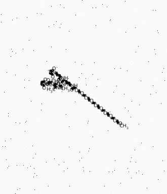 COCCOCCOCCOCCOCCOCCOCCOCCOCCOCC(=O)NCCCC[C@H](NC(=O)CCCN1C(=O)C=CC1=O)C(=O)N[C@@H](C)C(=O)N[C@@H](C)C(=O)N[C@@H](C)C(=O)ON1C(=O)CCC1=O